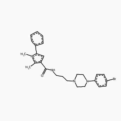 Cc1c(C(=O)NCCCN2CCN(c3ccc(Br)cc3)CC2)cc(-c2ccccc2)n1C